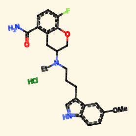 CCN(CCCc1c[nH]c2ccc(OC)cc12)C1COc2c(F)ccc(C(N)=O)c2C1.Cl